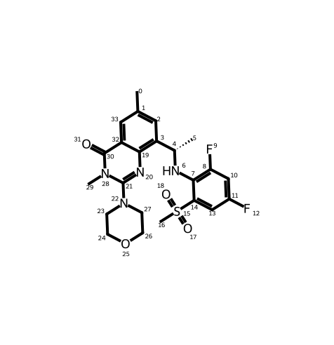 Cc1cc([C@H](C)Nc2c(F)cc(F)cc2S(C)(=O)=O)c2nc(N3CCOCC3)n(C)c(=O)c2c1